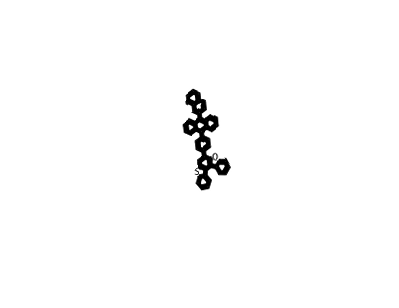 c1ccc2cc(-c3c4ccccc4c(-c4ccc(-c5cc6sc7ccccc7c6c6c5oc5ccccc56)cc4)c4ccccc34)ccc2c1